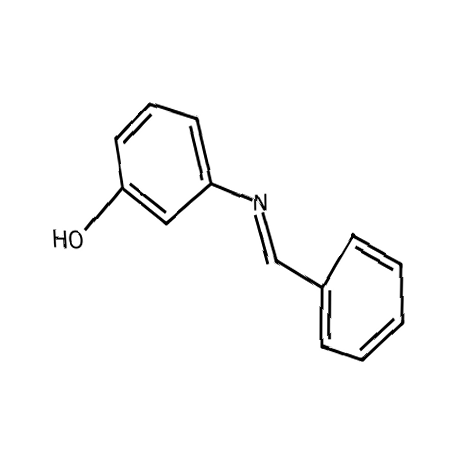 Oc1cccc(N=Cc2ccccc2)c1